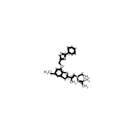 CCc1cc2c(c(OCc3csc(-c4ccccc4)n3)c1)N=C(/C(C)=C/N(CC)N=C(C)C)C2